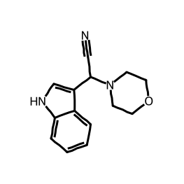 N#CC(c1c[nH]c2ccccc12)N1CCOCC1